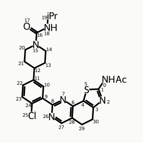 CC(=O)Nc1nc2c(s1)-c1nc(-c3cc(C4CCN(C(=O)NC(C)C)CC4)ccc3Cl)ncc1CC2